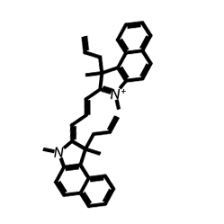 C=CCC1(C)C(/C=C/C=C2/N(C)c3ccc4ccccc4c3C2(C)CC=C)=[N+](C)c2ccc3ccccc3c21